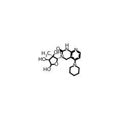 C[C@@]1(O)[C@H](O)C(O)O[C@H]1N1Cc2c(N3CCCCC3)ccnc2NC1=O